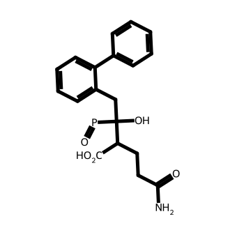 NC(=O)CCC(C(=O)O)C(O)(Cc1ccccc1-c1ccccc1)P=O